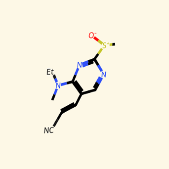 CCN(C)c1nc([S+](C)[O-])ncc1/C=C/C#N